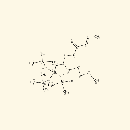 CC=CC(=O)OCC(C[Si](O[Si](C)(C)C)(O[Si](C)(C)C)O[Si](C)(C)C)OCCCO